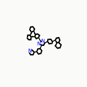 c1cncc(-c2cccc(-c3cc(-c4ccc(-c5cccc6ccccc56)cc4)nc(-c4ccc5c6ccccc6c6ccccc6c5c4)n3)c2)c1